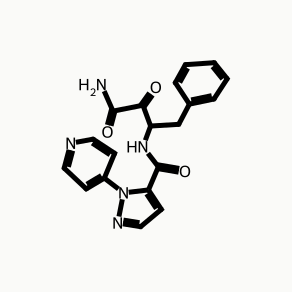 NC(=O)C(=O)C(Cc1ccccc1)NC(=O)c1ccnn1-c1ccncc1